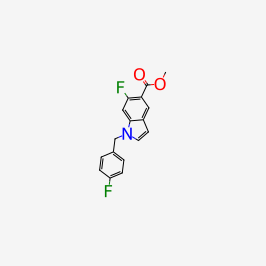 COC(=O)c1cc2ccn(Cc3ccc(F)cc3)c2cc1F